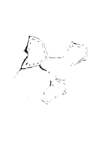 Clc1cccc(-n2cccn2)c1-n1cccn1